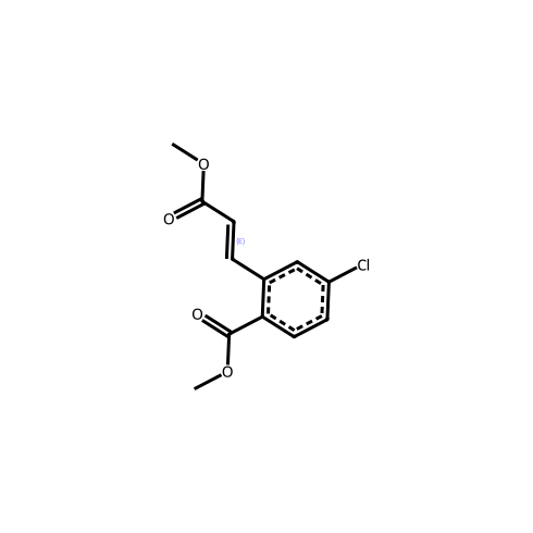 COC(=O)/C=C/c1cc(Cl)ccc1C(=O)OC